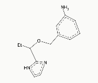 CCC(OCc1cccc(N)c1)c1ncc[nH]1